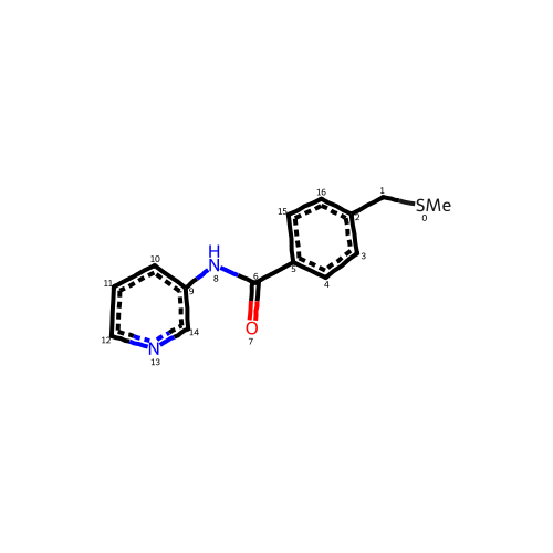 CSCc1ccc(C(=O)Nc2cccnc2)cc1